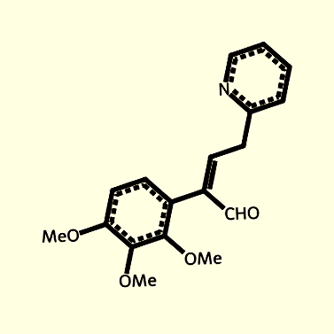 COc1ccc(C(C=O)=CCc2ccccn2)c(OC)c1OC